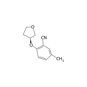 Cc1ccc(O[C@H]2CCOC2)c(C#N)c1